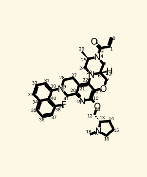 C=CC(=O)N1C[C@@H]2COc3c(OC[C@@H]4CCCN4C)nc4c(c3N2C[C@H]1C)CCN(c1cccc2cccc(F)c12)C4